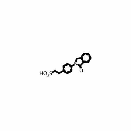 O=C1c2ccccc2CN1c1ccc(CCS(=O)(=O)O)cc1